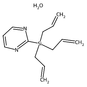 C=CC[Si](CC=C)(CC=C)c1ncccn1.O